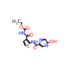 CCOC(=O)NC(=O)c1ccsc1NC(=O)c1cnc(O)cn1